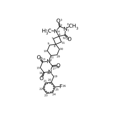 CN1C(=O)N(C)C2(CC3(CCC(N4C(=O)CC(=O)N(Cc5ccccc5F)C4=O)CC3)C2)C1=O